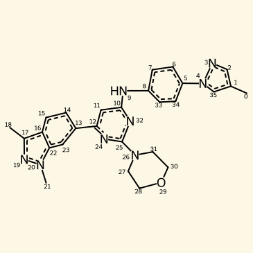 Cc1cnn(-c2ccc(Nc3cc(-c4ccc5c(C)nn(C)c5c4)nc(N4CCOCC4)n3)cc2)c1